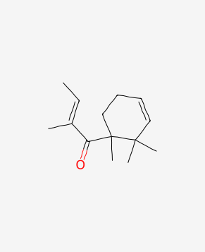 CC=C(C)C(=O)C1(C)CCC=CC1(C)C